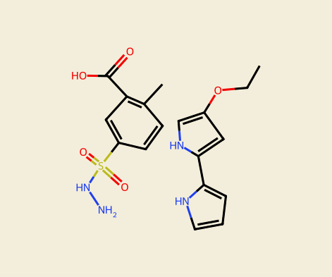 CCOc1c[nH]c(-c2ccc[nH]2)c1.Cc1ccc(S(=O)(=O)NN)cc1C(=O)O